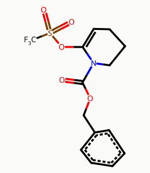 O=C(OCc1ccccc1)N1CCCC=C1OS(=O)(=O)C(F)(F)F